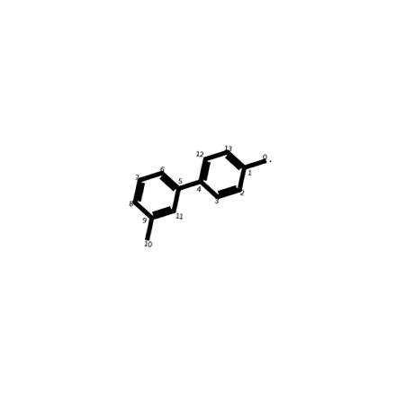 [CH2]c1ccc(-c2cccc(C)c2)cc1